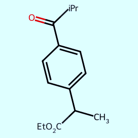 CCOC(=O)C(C)c1ccc(C(=O)C(C)C)cc1